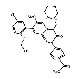 COC(=O)c1ccc(NC(=O)C(C[C@H]2CCCCO2)n2cc(OC)c(-c3cc(Cl)ccc3OCC(F)(F)F)cc2=O)cc1